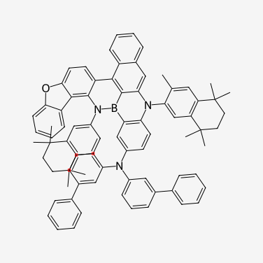 Cc1cc2c(cc1N1c3ccc(N(c4cccc(-c5ccccc5)c4)c4cccc(-c5ccccc5)c4)cc3B3c4c1cc1ccccc1c4-c1ccc4oc5ccccc5c4c1N3c1ccc3c(c1)C(C)(C)CCC3(C)C)C(C)(C)CCC2(C)C